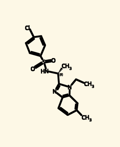 CCn1c([C@@H](C)NS(=O)(=O)c2ccc(Cl)cc2)nc2ccc(C)cc21